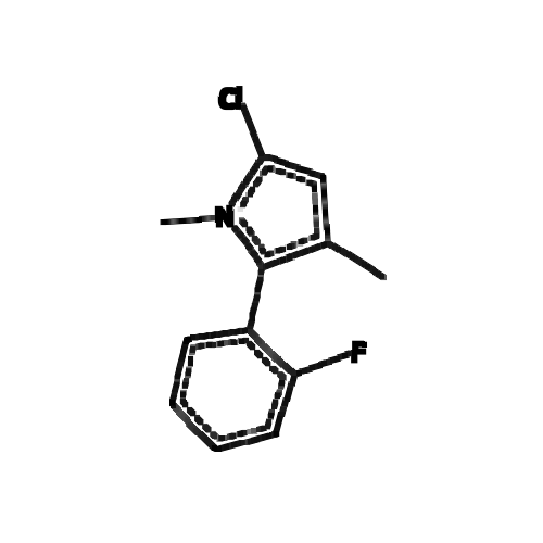 Cc1cc(Cl)n(C)c1-c1ccccc1F